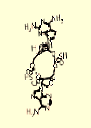 Nc1nc(N)c2ccn([C@@H]3O[C@@H]4COP(=O)(S)O[C@@H]5[C@@H](COP(=O)(S)O[C@@H]3[C@@H]4O)OC[C@]5(Cl)n3cnc4c(N)ncnc43)c2n1